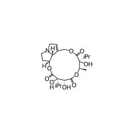 CC(C)[C@]1(O)C(=O)O[C@@H]2CCN3CC=C(COC(=O)[C@](O)(C(C)C)[C@@H](C)OC(=O)[C@@H]1O)[C@H]23